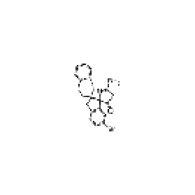 NC1=NC2(C(=O)C1)c1cc(Br)ccc1CC21CCc2ccccc2CC1